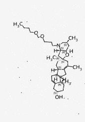 CCCCOCOCCCN1C[C@@H](C)C[C@H]2O[C@]3(CC[C@@H]4C(=C(C)C3)C[C@H]3[C@H]4CC=C4C[C@@H](O)CC[C@@]43C)[C@H](C)[C@@H]21